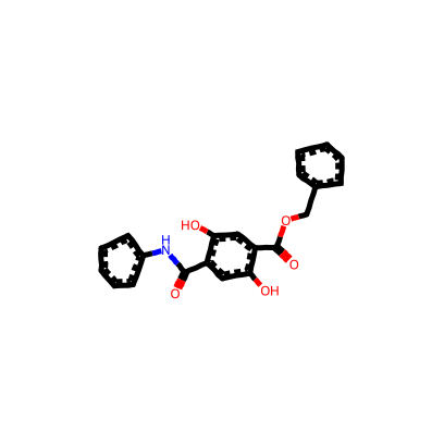 O=C(Nc1ccccc1)c1cc(O)c(C(=O)OCc2ccccc2)cc1O